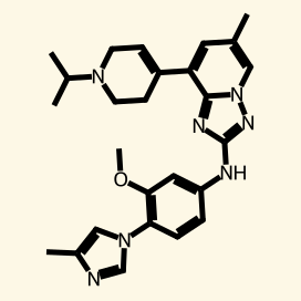 COc1cc(Nc2nc3c(C4=CCN(C(C)C)CC4)cc(C)cn3n2)ccc1-n1cnc(C)c1